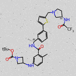 Cc1ccc(NC2CN(C(=O)OC(C)(C)C)C2)cc1C(=O)N[C@H](C)c1cccc(-c2ccc(CN3CC[C@H](NC(=O)C(F)(F)F)C3)s2)c1